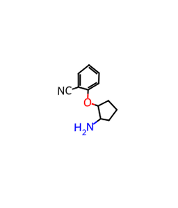 N#Cc1ccccc1OC1CCCC1N